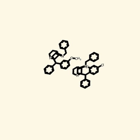 COc1cccc(C(c2ccccc2)C2/C(=N/Cc3ccccc3)C3CCN2CC3)c1.Clc1ccc(C(c2ccccc2)C2/C(=N/Cc3ccccc3)C3CCN2CC3)c(Cl)c1